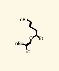 CCCCC=C[CH]C(CC)OC=C(CC)CCCC